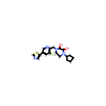 O=C1C(=O)N(C2CCCC2)CCN1Cc1ncc(-c2cncs2)cc1F